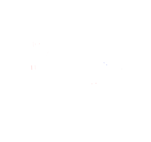 CC(=O)N1Cc2ccc(B(O)O)cc2C1=O